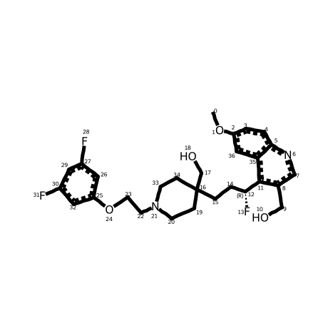 COc1ccc2ncc(CO)c([C@H](F)CCC3(CO)CCN(CCOc4cc(F)cc(F)c4)CC3)c2c1